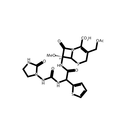 CO[C@]1(NC(=O)C(NC(=O)NN2CCNC2=O)c2cccs2)C(=O)N2C(C(=O)O)=C(COC(C)=O)CSC21